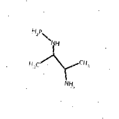 CC(N)C(C)NP